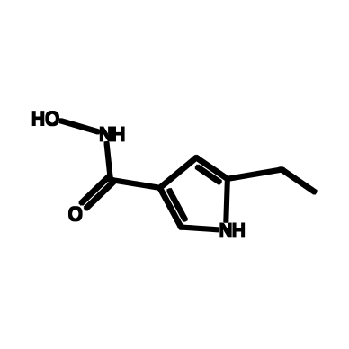 CCc1cc(C(=O)NO)c[nH]1